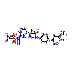 CC(C)(C(=O)Nc1ccc(-c2cncc(C(F)(F)F)c2)cc1)c1ccnc(NS(=O)(=O)C2CC2)n1